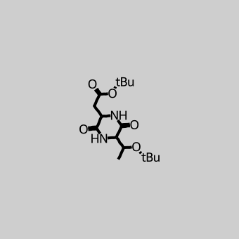 CC(OC(C)(C)C)C1NC(=O)C(CC(=O)OC(C)(C)C)NC1=O